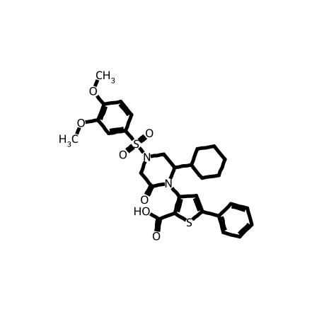 COc1ccc(S(=O)(=O)N2CC(=O)N(c3cc(-c4ccccc4)sc3C(=O)O)C(C3CCCCC3)C2)cc1OC